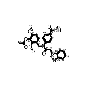 CNC(=O)c1ccc(N(Cc2ccc(OC)c(OC(C)=O)c2OC)C(=O)Cn2nnc3ccccc32)cc1